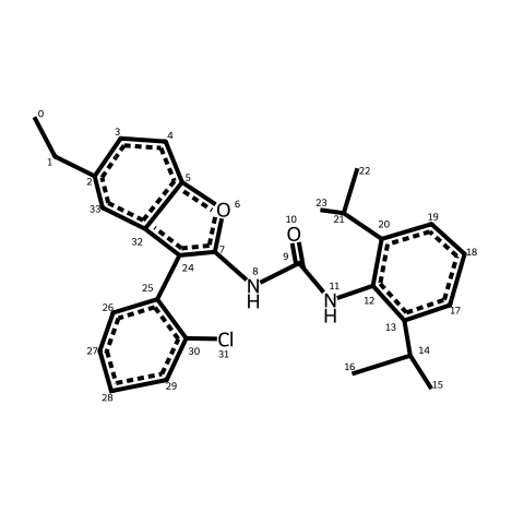 CCc1ccc2oc(NC(=O)Nc3c(C(C)C)cccc3C(C)C)c(-c3ccccc3Cl)c2c1